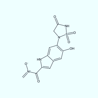 C=[N+]([O-])C(=O)c1cc2cc(O)c(N3CC(=O)NS3(=O)=O)cc2[nH]1